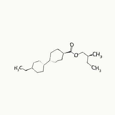 CC[C@H](C)COC(=O)[C@H]1CC[C@H]([C@H]2CC[C@H](CC)CC2)CC1